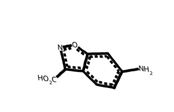 Nc1ccc2c(C(=O)O)noc2c1